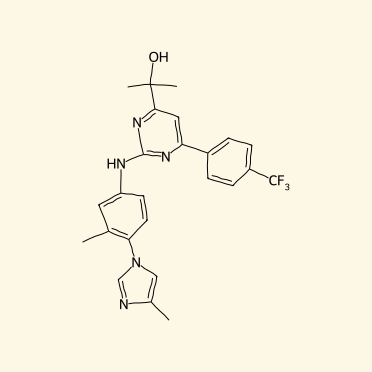 Cc1cn(-c2ccc(Nc3nc(-c4ccc(C(F)(F)F)cc4)cc(C(C)(C)O)n3)cc2C)cn1